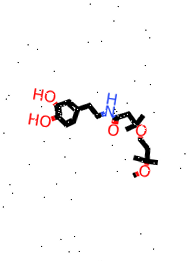 COC(C)(C)CCOC(C)(C)CC(=O)NCCc1ccc(O)c(O)c1